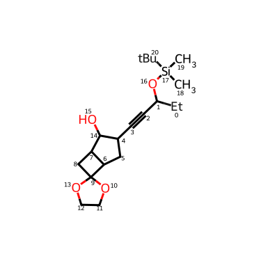 CCC(C#CC1CC2C(CC23OCCO3)C1O)O[Si](C)(C)C(C)(C)C